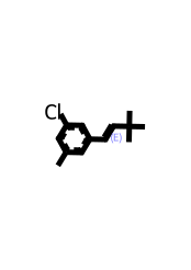 Cc1cc(Cl)cc(/C=C/C(C)(C)C)c1